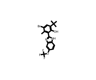 Cc1c(Br)cc(C(C)(C)C)c(O)c1-c1nc2cc(OC(F)(F)F)ccc2[nH]1